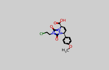 COc1ccc([C@@H]2C=C[C@H](C(=O)O)n3c(=O)n(CCCl)c(=O)n32)cc1